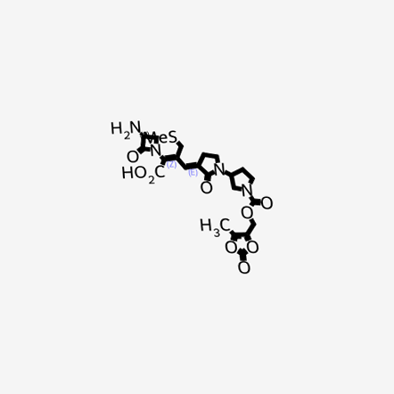 CSCC(/C=C1\CCN(C2CCN(C(=O)OCc3oc(=O)oc3C)C2)C1=O)=C(/C(=O)O)N1C[C@H](N)C1=O